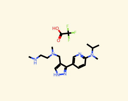 CNCCN(C)Cc1c[nH]nc1-c1ccc(N(C)C(C)C)nc1.O=C(O)C(F)(F)F